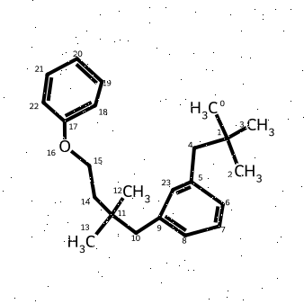 CC(C)(C)Cc1cccc(CC(C)(C)CCOc2ccccc2)c1